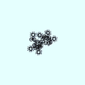 COC1OC(CO[C@@H]2O[C@H](COC(=O)c3ccccc3)[C@@H](OC(=O)c3ccccc3)[C@H](OC(=O)c3ccccc3)[C@@H]2C(F)(F)F)C(OC(=O)c2ccccc2)C(OC(=O)c2ccccc2)C1OC(=O)c1ccccc1